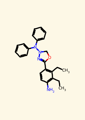 CCc1c(N)ccc(C2=NN(N(c3ccccc3)c3ccccc3)CO2)c1CC